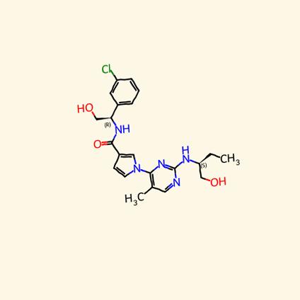 CC[C@@H](CO)Nc1ncc(C)c(-n2ccc(C(=O)N[C@@H](CO)c3cccc(Cl)c3)c2)n1